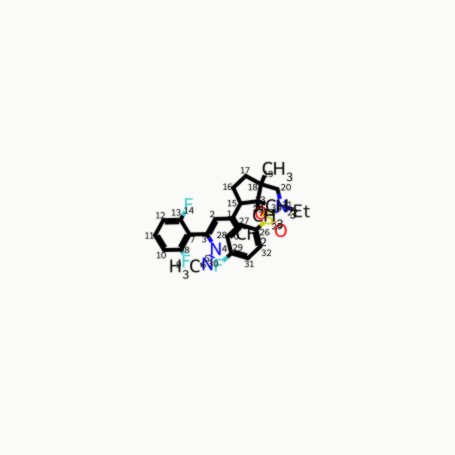 C=C(/C=C(\N=N/C)c1c(F)cccc1F)C1CCC(C)(CN(CC)S(=O)(=O)c2ccc(F)cc2)C1(C)C